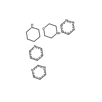 C1CCNCC1.C1COCCN1.c1ccncc1.c1ccnnc1.c1cncnc1